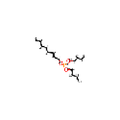 CCCCCCCCOP(OCCCC)OCCCC